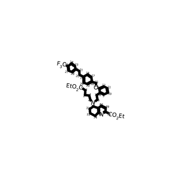 CCOC(=O)CCCCN(CCc1ccccc1OCc1ccc(CCc2ccc(C(F)(F)F)cc2)cc1)C1CCCc2nc(C(=O)OCC)ccc21